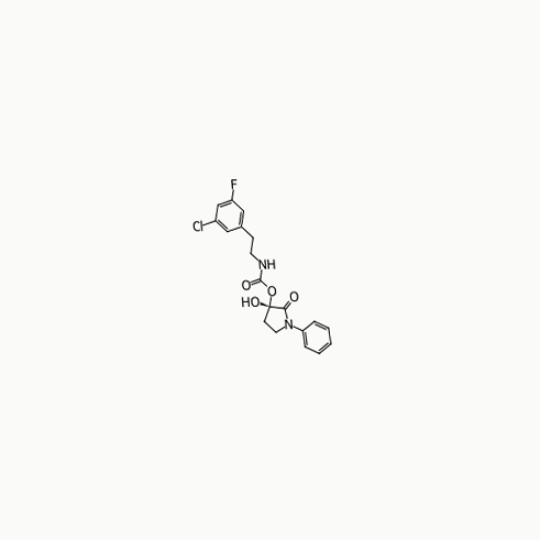 O=C(NCCc1cc(F)cc(Cl)c1)O[C@@]1(O)CCN(c2ccccc2)C1=O